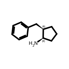 N[C@@H]1CCC[C@@H]1Cc1ccccc1